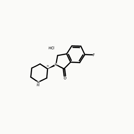 Cl.O=C1c2cc(F)ccc2CN1[C@@H]1CCCNC1